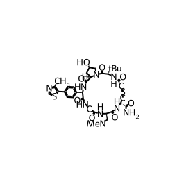 CNC[C@H]1NC(=O)CNC(=O)[C@@H](c2ccc(-c3scnc3C)cc2)NC(=O)[C@@H]2C[C@@H](O)CN2C(=O)[C@H](C(C)(C)C)NC(=O)CSC[C@H](C(N)=O)NC1=O